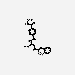 CCOC(=O)NC(=N)c1ccc(C(=O)NC(CC(=O)C(Oc2ccccc2)C(=O)O)SC)cc1